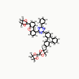 CC1(C)OB(B2OC(C)(C)C(C)(Cc3ccc4c(c3)c3ccccc3c3ccc(-c5nc(-c6ccccc6)nc(-c6cccc7oc8c(B9OC(C)(C)C(C)(C)O9)cccc8c67)n5)cc34)O2)OC1(C)C